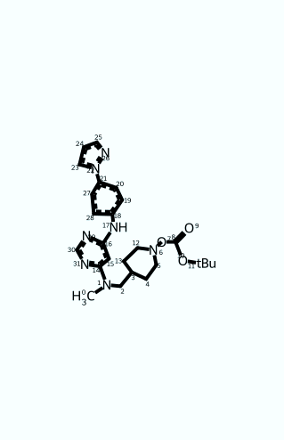 CN(CC1CCN(OC(=O)OC(C)(C)C)CC1)c1cc(Nc2ccc(-n3cccn3)cc2)ncn1